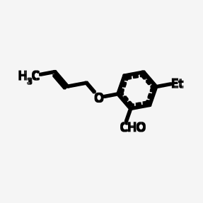 CC=CCOc1ccc(CC)cc1C=O